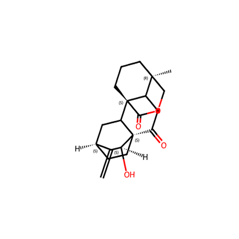 C=C1[C@H]2CC[C@@]3(C(=O)CC4[C@@]5(C)CCC[C@@]4(C(=O)OC5)C3C2)[C@H]1O